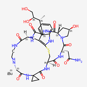 CC[C@H](C)[C@@H]1NCCNC(=O)[C@@H]2Cc3c([nH]c4ccccc34)SC[C@H](NC(=O)C3(CC3)NC1=O)C(=O)N[C@@H](CC(N)=O)C(=O)N1C[C@H](O)C[C@H]1C(=O)N[C@@H]([C@@H](C)[C@@H](O)CO)C(=O)N2